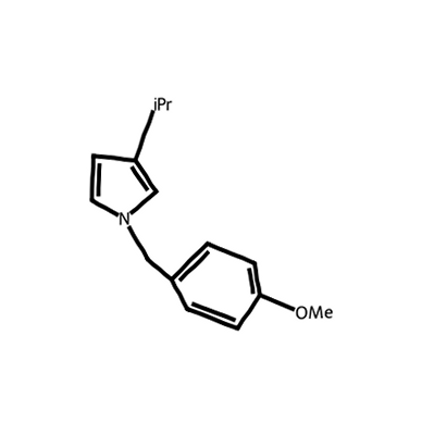 COc1ccc(Cn2ccc(C(C)C)c2)cc1